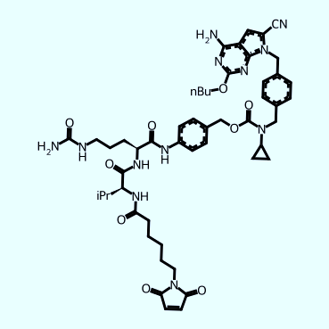 CCCCOc1nc(N)c2cc(C#N)n(Cc3ccc(CN(C(=O)OCc4ccc(NC(=O)[C@H](CCCNC(N)=O)NC(=O)[C@@H](NC(=O)CCCCCN5C(=O)C=CC5=O)C(C)C)cc4)C4CC4)cc3)c2n1